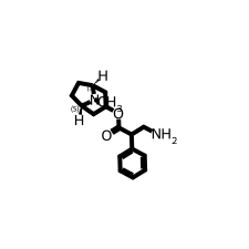 CN1[C@H]2CC[C@H]1CC(OC(=O)C(CN)c1ccccc1)C2